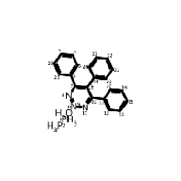 O.P.P.c1ccc(-c2nnnc(-c3ccccc3)c2-c2ccccc2)cc1